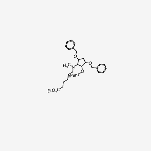 CCCCCOC1C(OCc2ccccc2)CC(OCc2ccccc2)C1N(C)CCCCCC(=O)OCC